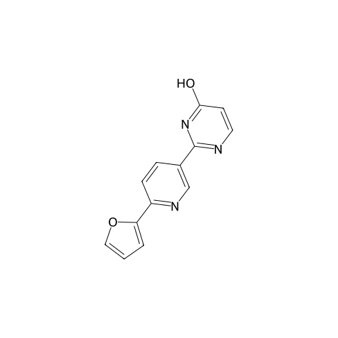 Oc1ccnc(-c2ccc(-c3ccco3)nc2)n1